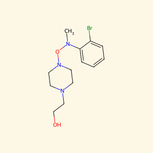 CN(ON1CCN(CCO)CC1)c1ccccc1Br